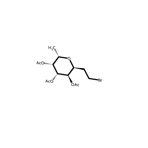 CC(=O)O[C@@H]1[C@H](OC(C)=O)[C@H](C)O[C@@H](CCBr)[C@H]1OC(C)=O